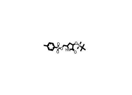 Cc1ccc(S(=O)(=O)OCC2CC(O[Si](C)(C)C(C)(C)C)C(=O)N2)cc1